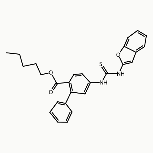 CCCCCOC(=O)c1ccc(NC(=S)Nc2cc3ccccc3o2)cc1-c1ccccc1